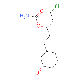 NC(=O)OC(CCCl)CCC1CCCC(=O)C1